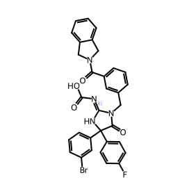 O=C(O)/N=C1\NC(c2ccc(F)cc2)(c2cccc(Br)c2)C(=O)N1Cc1cccc(C(=O)N2Cc3ccccc3C2)c1